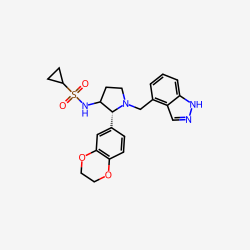 O=S(=O)(NC1CCN(Cc2cccc3[nH]ncc23)[C@@H]1c1ccc2c(c1)OCCO2)C1CC1